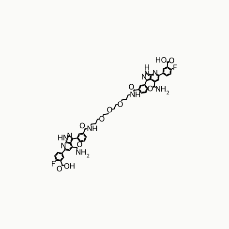 NC(=O)c1cc(-c2ccc(F)c(C(=O)O)c2)nc2[nH]nc(-c3cccc(C(=O)NCCCOCCOCCOCCCNC(=O)c4cccc(-c5n[nH]c6nc(-c7ccc(F)c(C(=O)O)c7)cc(C(N)=O)c56)c4)c3)c12